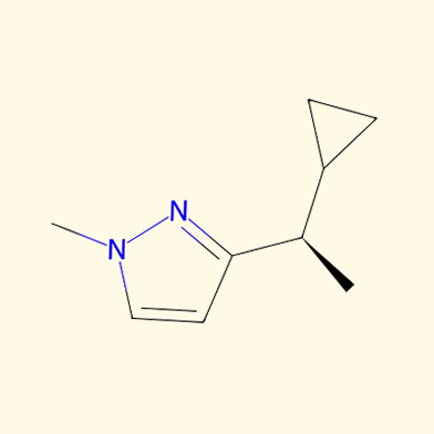 C[C@@H](c1ccn(C)n1)C1CC1